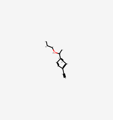 C#Cc1ccc(C(C)OCCC)cc1